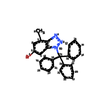 Cc1cc(Br)cc2c1nnn2C(c1ccccc1)(c1ccccc1)c1ccccc1